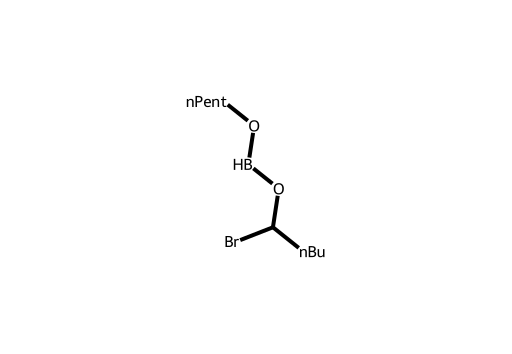 CCCCCOBOC(Br)CCCC